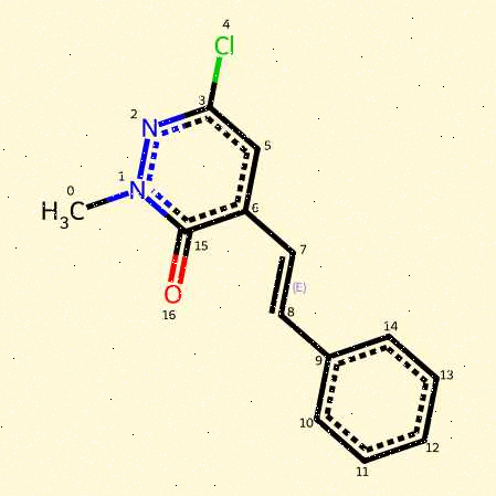 Cn1nc(Cl)cc(/C=C/c2ccccc2)c1=O